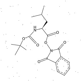 CC(C)C[C@H](NC(=O)OC(C)(C)C)C(=O)ON1C(=O)c2ccccc2C1=O